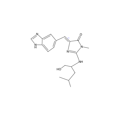 CC(C)CC(CO)NC1=N/C(=C\c2ccc3[nH]cnc3c2)C(=O)N1C